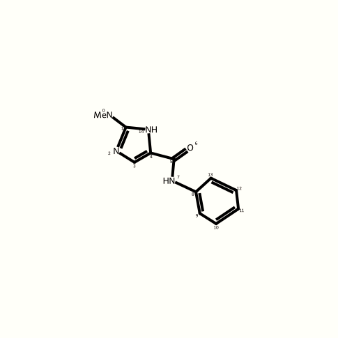 CNc1ncc(C(=O)Nc2ccccc2)[nH]1